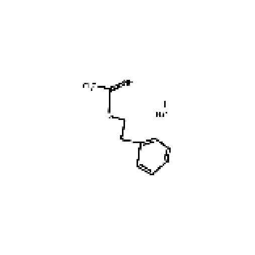 N=C(OCCc1ccccc1)C(Cl)(Cl)Cl.[H-].[Na+]